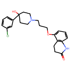 O=C1CCc2c(cccc2OCCCN2CCC(O)(c3cccc(Cl)c3)CC2)N1